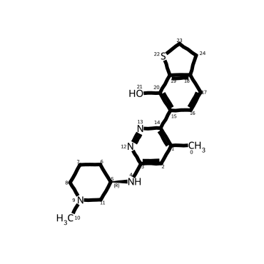 Cc1cc(N[C@@H]2CCCN(C)C2)nnc1-c1ccc2c(c1O)SCC2